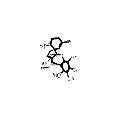 CC(C)C[C@H]1c2c(O)c(C=O)c(O)c(C=O)c2O[C@@H]2[C@@]1(C)CC[C@@]21C=C(C(C)C)CC[C@@H]1C